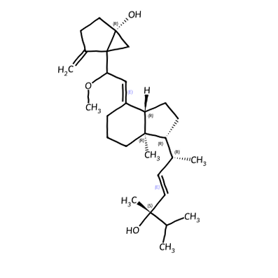 C=C1CC[C@@]2(O)CC12C(/C=C1\CCC[C@]2(C)[C@@H]([C@H](C)/C=C/[C@@](C)(O)C(C)C)CC[C@@H]12)OC